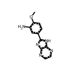 COc1ccc(-c2nc3nccnc3[nH]2)cc1N